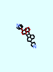 c1ccc(-c2ccc3c4c(cccc24)C24c5cccc6c(-c7ccncc7)ccc(c56)C32c2ccc(-c3ccncc3)c3cccc4c23)cc1